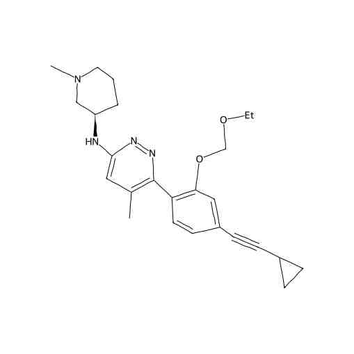 CCOCOc1cc(C#CC2CC2)ccc1-c1nnc(N[C@@H]2CCCN(C)C2)cc1C